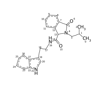 CC(C)CN1C(=O)c2ccccc2C1C(=O)NCCc1c[nH]c2ccccc12